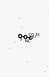 CCOC(=O)c1c(-c2ccc(-c3ccccc3F)cc2)c(C#N)cn1C